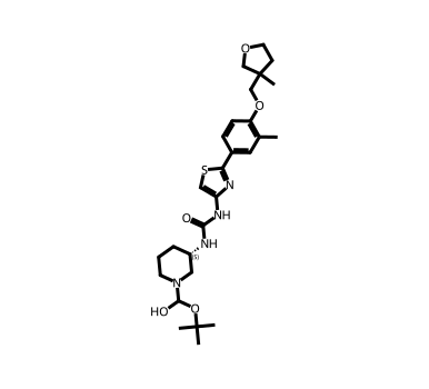 Cc1cc(-c2nc(NC(=O)N[C@H]3CCCN(C(O)OC(C)(C)C)C3)cs2)ccc1OCC1(C)CCOC1